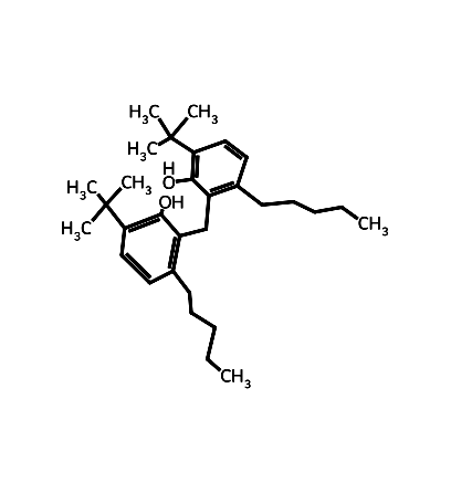 CCCCCc1ccc(C(C)(C)C)c(O)c1Cc1c(CCCCC)ccc(C(C)(C)C)c1O